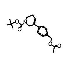 CC(=O)OCc1ccc(C2=CCCN(C(=O)OC(C)(C)C)C2)cc1